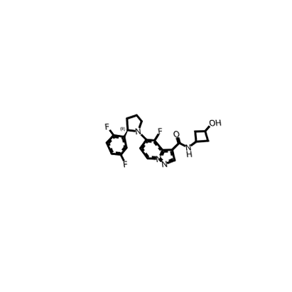 O=C(NC1CC(O)C1)c1cnn2ccc(N3CCC[C@@H]3c3cc(F)ccc3F)c(F)c12